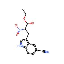 CCOC(=O)C(Cc1c[nH]c2ccc(C#N)cc12)[N+](=O)[O-]